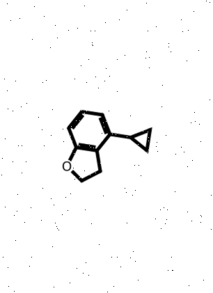 c1cc2c(c(C3CC3)c1)CCO2